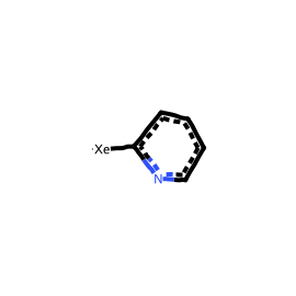 [Xe]c1ccccn1